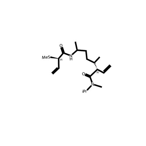 C=C[C@H](C(=O)N(C)C(C)C)C(C)CCC(C)NC(=O)[C@@H](C=C)SC